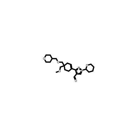 COCC1(COCC2CCOCC2)CC=C(c2nn(C3CCCCO3)cc2C=O)CC1